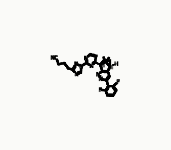 CC1(C)[C@H]2CC[C@@]1(c1ccnc(-n3cnc(CCCC#N)n3)n1)c1nnc(-c3c(F)cccc3F)cc12